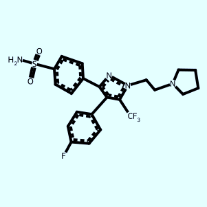 NS(=O)(=O)c1ccc(-c2nn(CCN3CCCC3)c(C(F)(F)F)c2-c2ccc(F)cc2)cc1